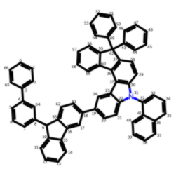 c1ccc(-c2cccc(C3c4ccccc4-c4cc(-c5ccc6c(c5)c5c7c(ccc5n6-c5cccc6ccccc56)C(c5ccccc5)(c5ccccc5)c5ccccc5-7)ccc43)c2)cc1